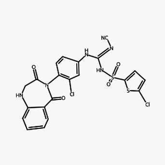 N#C/N=C(\Nc1ccc(N2C(=O)CNc3ccccc3C2=O)c(Cl)c1)NS(=O)(=O)c1ccc(Cl)s1